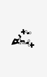 CC(C)(C)OC=O.CCn1c(CNC(=O)OC(C)(C)C)nc2c3cc-3cc21